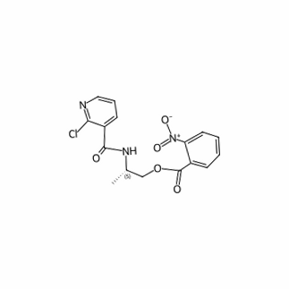 C[C@@H](COC(=O)c1ccccc1[N+](=O)[O-])NC(=O)c1cccnc1Cl